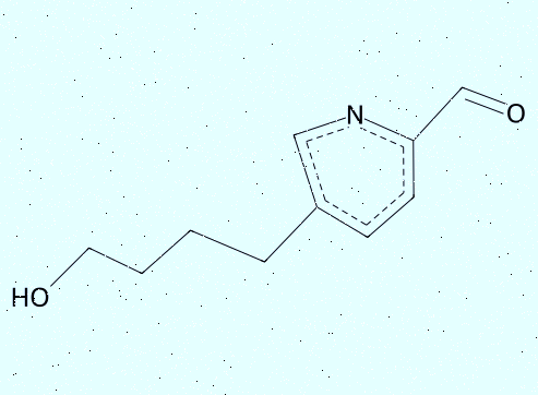 O=Cc1ccc(CCCCO)cn1